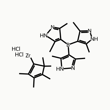 CC1=C(C)C(C)(C)[C]([Zr])=C1C.Cc1n[nH]c(C)c1B(c1c(C)n[nH]c1C)c1c(C)n[nH]c1C.Cl.Cl